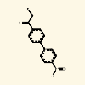 O=C(CBr)c1ccc(-c2ccc([N+](=O)[O-])cc2)cc1